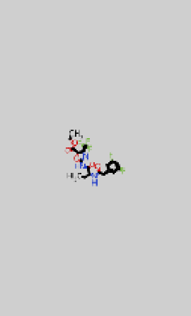 CCOC(=O)c1oc(NC(=O)C(CC)NC(=O)Cc2cc(F)cc(F)c2)nc1C(F)(F)F